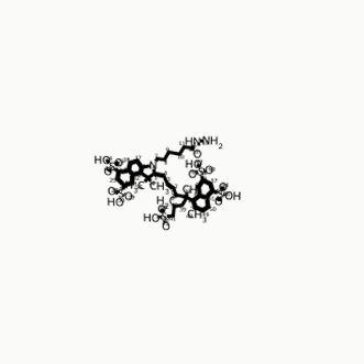 C=C(/C=C/C=C1/N(CCCCCC(=O)NN)c2ccc3c(S(=O)(=O)O)cc(S(=O)(=O)O)cc3c2C1(C)C)C(C)(CCCS(=O)(=O)O)c1c(C)ccc2c(S(=O)(=O)O)cc(S(=O)(=O)O)cc12